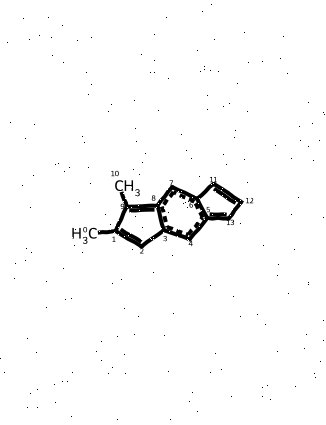 CC1=Cc2cc3c(cc2=C1C)C=CC=3